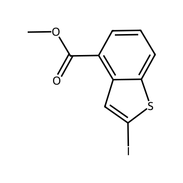 COC(=O)c1cccc2sc(I)cc12